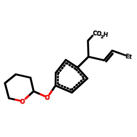 CC/C=C/C(CC(=O)O)c1ccc(OC2CCCCO2)cc1